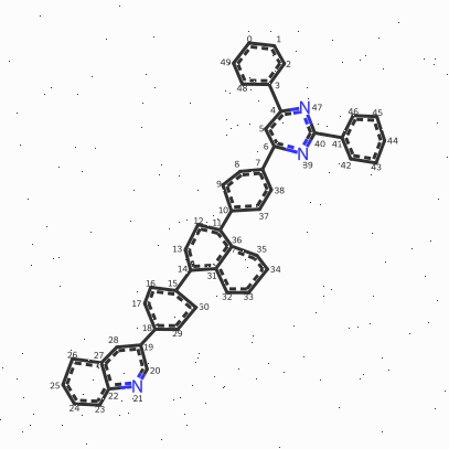 c1ccc(-c2cc(-c3ccc(-c4ccc(-c5ccc(-c6cnc7ccccc7c6)cc5)c5ccccc45)cc3)nc(-c3ccccc3)n2)cc1